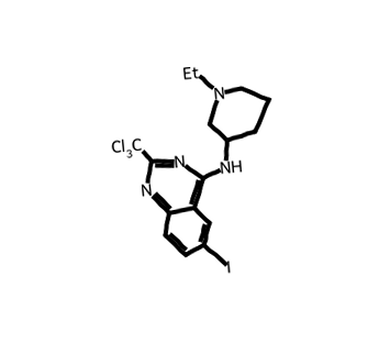 CCN1CCCC(Nc2nc(C(Cl)(Cl)Cl)nc3ccc(I)cc23)C1